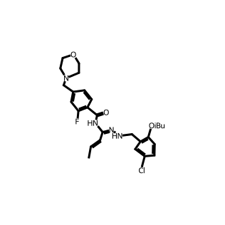 C/C=C/C(=N\NCc1cc(Cl)ccc1OCC(C)C)NC(=O)c1ccc(CN2CCOCC2)cc1F